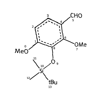 COc1ccc(C=O)c(OC)c1O[Si](C)(C)C(C)(C)C